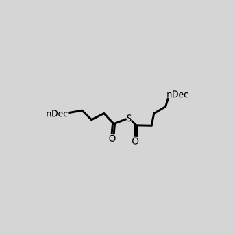 CCCCCCCCCCCCCC(=O)SC(=O)CCCCCCCCCCCCC